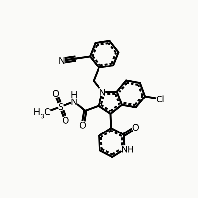 CS(=O)(=O)NC(=O)c1c(-c2ccc[nH]c2=O)c2cc(Cl)ccc2n1Cc1ccccc1C#N